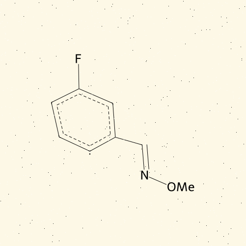 CON=Cc1[c]ccc(F)c1